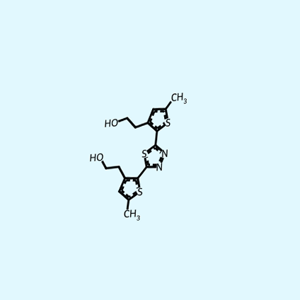 Cc1cc(CCO)c(-c2nnc(-c3sc(C)cc3CCO)s2)s1